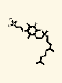 Cc1c(C)c2c(c(C)c1OCCS(=O)(=O)O)CCC(C)(CCCC(C)CCCC(C)C)O2